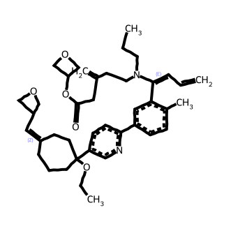 C=C/C=C(\c1cc(-c2ccc(C3(OCC)CCC/C(=C/C4COC4)CC3)cn2)ccc1C)N(CCC)CCC(=C)CC(=O)OC1COC1